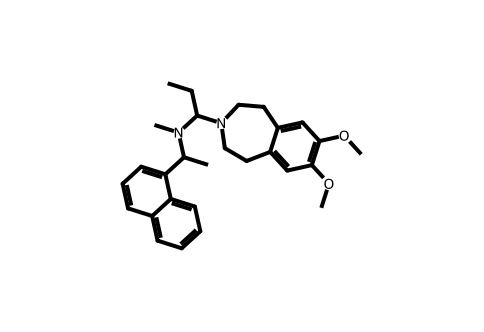 CCC(N1CCc2cc(OC)c(OC)cc2CC1)N(C)C(C)c1cccc2ccccc12